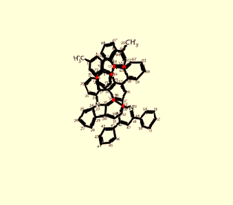 Cc1ccc2c(c1)c1cc(C)ccc1n2-c1c(-c2ccccc2-n2c3ccccc3c3ccccc32)cc(-c2nc(-c3ccccc3)cc(-c3ccccc3)n2)cc1-c1ccccc1-n1c2ccccc2c2ccccc21